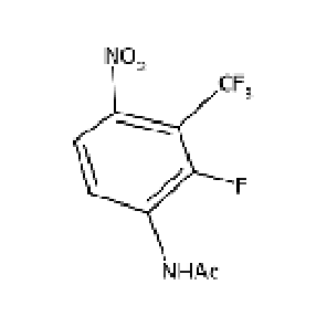 CC(=O)Nc1ccc([N+](=O)[O-])c(C(F)(F)F)c1F